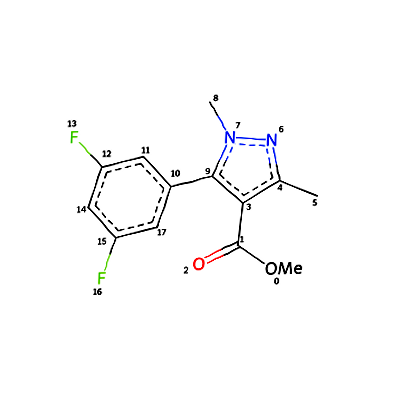 COC(=O)c1c(C)nn(C)c1-c1cc(F)cc(F)c1